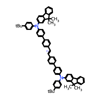 CC(C)(C)c1ccc(N(c2ccc(-c3ccc(/C=C/c4ccc(-c5ccc(N(c6ccc(C(C)(C)C)cc6)c6ccc7c(c6)C(C)(C)c6ccccc6-7)cc5)cc4)cc3)cc2)c2ccc3c(c2)C(C)(C)c2ccccc2-3)cc1